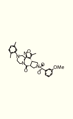 COc1cccc(S(=O)(=O)N2C[C@@H](C(=O)N3CCN(c4cc(C)ccc4C)CC3)[C@H](c3c(C)noc3C)C2)c1